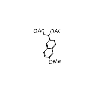 COc1ccc2cc([C@@H](COC(C)=O)OC(C)=O)ccc2c1